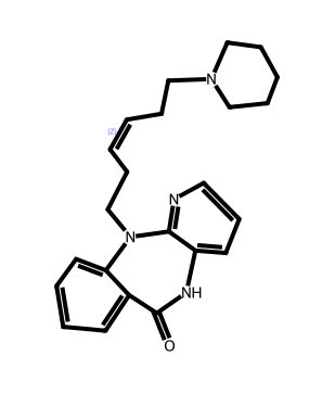 O=C1Nc2cccnc2N(CC/C=C\CCN2CCCCC2)c2ccccc21